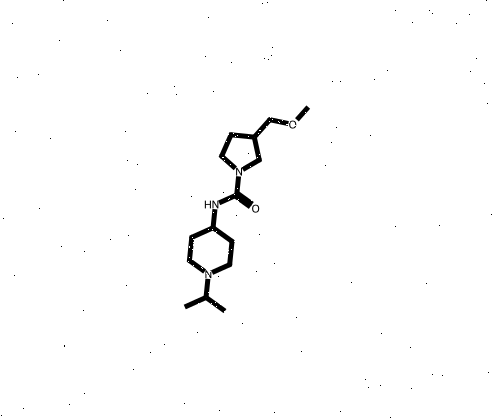 COCC1CCN(C(=O)NC2CCN(C(C)C)CC2)C1